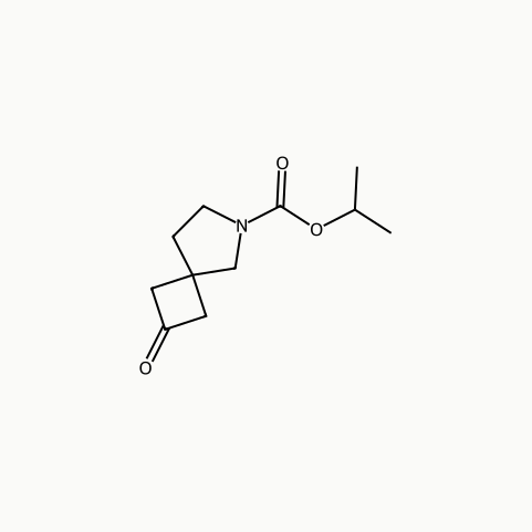 CC(C)OC(=O)N1CCC2(CC(=O)C2)C1